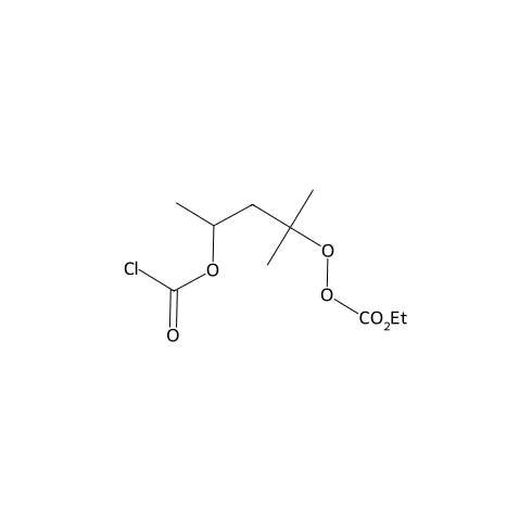 CCOC(=O)OOC(C)(C)CC(C)OC(=O)Cl